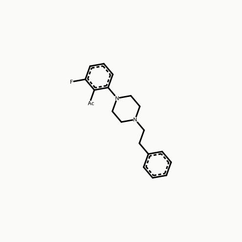 CC(=O)c1c(F)cccc1N1CCN(CCc2ccccc2)CC1